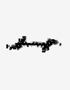 COc1ccc(N(CCCCCCCCCCCCN(C(=O)C=O)c2ccc(OC)cc2)C(=O)C=O)cc1